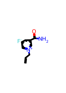 C=CC[n+]1cccc(C(N)=O)c1.[F-]